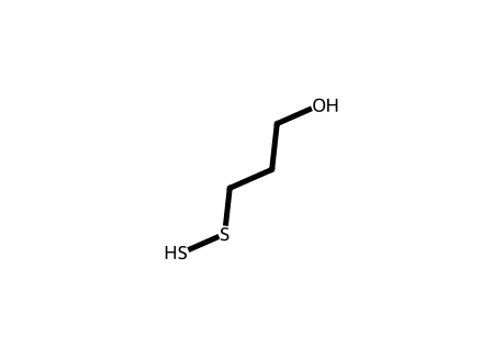 OCCCSS